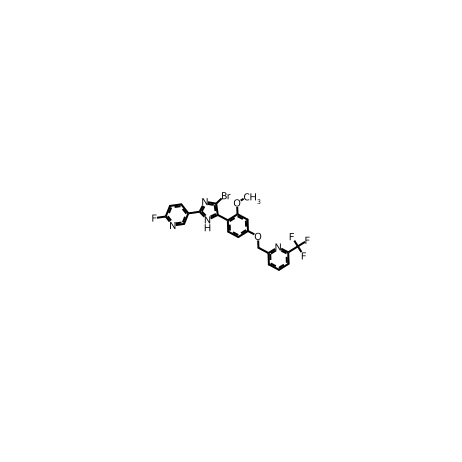 COc1cc(OCc2cccc(C(F)(F)F)n2)ccc1-c1[nH]c(-c2ccc(F)nc2)nc1Br